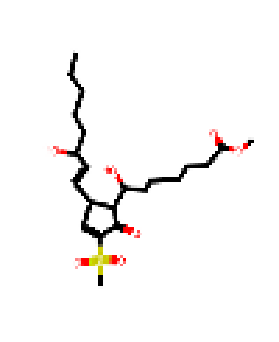 CCCCCC(O)/C=C/C1C=C(S(C)(=O)=O)C(=O)C1C(O)CCCCCC(=O)OC